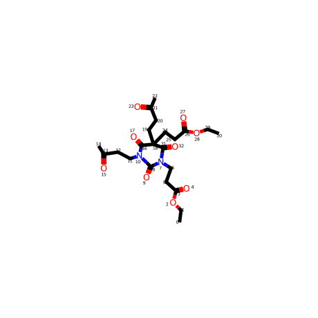 CCOC(=O)CCN1C(=O)N(CCC(C)=O)C(=O)C(CCC(C)=O)(CCC(=O)OCC)C1=O